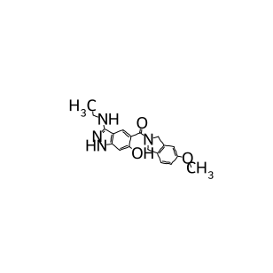 CCNc1n[nH]c2cc(O)c(C(=O)N3Cc4ccc(OC)cc4C3)cc12